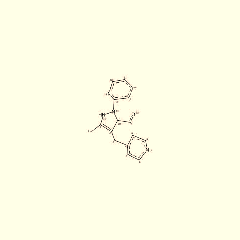 CC1=C(Cc2ccncc2)C(C=O)N(c2ccccn2)N1